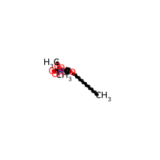 CCCCCCCCCCCCCCCCOc1ccc(C2=NC(CC)(CC(=O)O)C(OCC)O2)cc1